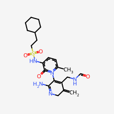 C=C1CN=C(N)C(n2c(C)ccc(NS(=O)(=O)CCC3CCCCC3)c2=O)=C1CNC=O